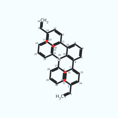 C=Cc1ccc(-c2cccc(-c3ccc(C=C)cc3)c2N(c2ccccc2)c2ccccc2)cc1